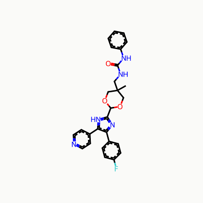 CC1(CNC(=O)Nc2ccccc2)COC(c2nc(-c3ccc(F)cc3)c(-c3ccncc3)[nH]2)OC1